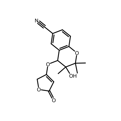 CC1(C)Oc2ccc(C#N)cc2C(OC2=CC(=O)OC2)C1(C)O